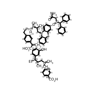 CC(C)Cc1ccc(C(C)C(=O)O)cc1.CC(CN1c2ccccc2Sc2ccccc21)N(C)C.CC[C@@H](c1cccc(O)c1)[C@@H](C)CN(C)C.NC(=O)C[S+]([O-])C(c1ccccc1)c1ccccc1.O=C(O)c1cccnc1